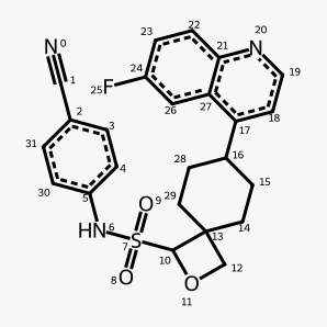 N#Cc1ccc(NS(=O)(=O)C2OCC23CCC(c2ccnc4ccc(F)cc24)CC3)cc1